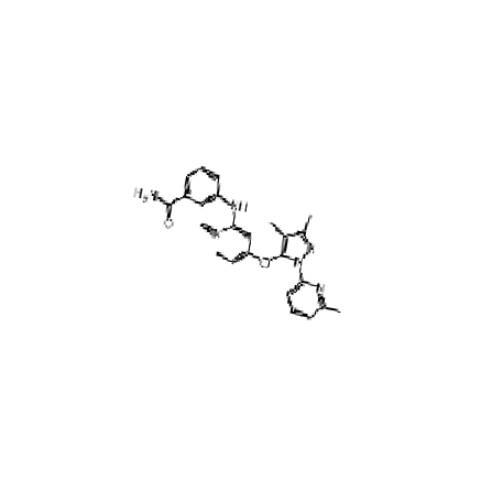 C=N/C(=C\C(=C/C)Oc1c(C)c(C)nn1-c1cccc(C)n1)Nc1cccc(C(N)=O)c1